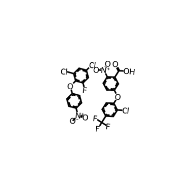 O=C(O)c1cc(Oc2ccc(C(F)(F)F)cc2Cl)ccc1[N+](=O)[O-].O=[N+]([O-])c1ccc(Oc2c(F)cc(Cl)cc2Cl)cc1